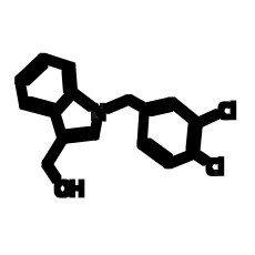 OCc1cn(Cc2ccc(Cl)c(Cl)c2)c2ccccc12